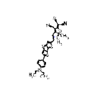 CCN(CC)c1ccc(-c2cc3sc4cc(/C=C/C5=C(C#N)C(=C(C#N)C#N)OC5(C)C)sc4c3s2)cc1